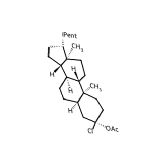 CCC[C@@H](C)[C@H]1CC[C@H]2[C@@H]3CC[C@@H]4C[C@@](Cl)(OC(C)=O)CC[C@]4(C)[C@H]3CC[C@]12C